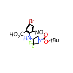 CC(C)(C)OC(=O)N1C[C@H](Nc2c(C(=O)O)cc(Br)cc2[N+](=O)[O-])C(F)(F)C1